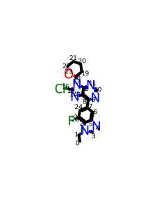 CCn1cnc2cc(-c3ncnc4c3nc(Cl)n4C3CCCCO3)cc(F)c21